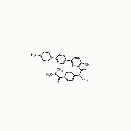 CC(c1ccc(C(=O)N(C)C)cc1)c1c[nH]c2ncc(-c3ccc(N4CCN(C)CC4)cc3)nc12